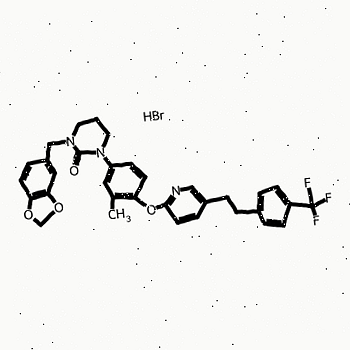 Br.Cc1cc(N2CCCN(Cc3ccc4c(c3)OCO4)C2=O)ccc1Oc1ccc(CCc2ccc(C(F)(F)F)cc2)cn1